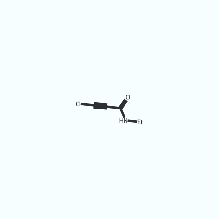 CCNC(=O)C#CCl